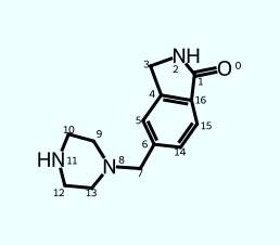 O=C1NCc2cc(CN3CCNCC3)ccc21